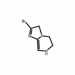 BrC1=NC2=CNCCN2C1